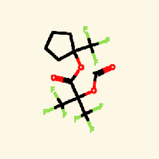 O=[C]OC(C(=O)OC1(C(F)(F)F)CCCC1)(C(F)(F)F)C(F)(F)F